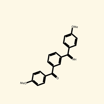 COc1ccc(C(=N)c2cccc(C(=O)c3ccc(OC)cc3)c2)cc1